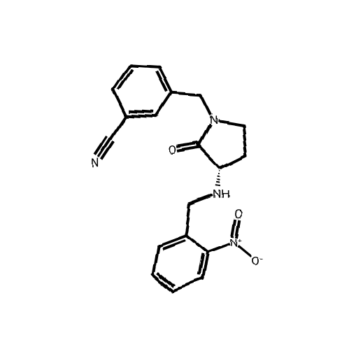 N#Cc1cccc(CN2CC[C@H](NCc3ccccc3[N+](=O)[O-])C2=O)c1